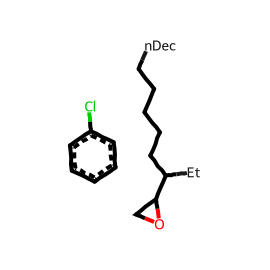 CCCCCCCCCCCCCCCC(CC)C1CO1.Clc1ccccc1